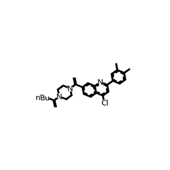 C=C(CCCC)N1CCN(C(=C)c2ccc3c(Cl)cc(-c4ccc(C)c(C)c4)nc3c2)CC1